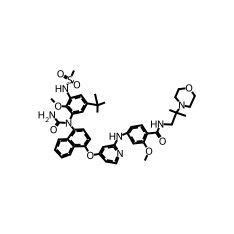 COc1cc(Nc2cc(Oc3ccc(N(C(N)=O)c4cc(C(C)(C)C)cc(NS(C)(=O)=O)c4OC)c4ccccc34)ccn2)ccc1C(=O)NCC(C)(C)N1CCOCC1